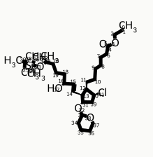 CCCOC(=O)CCCCCC[C@@H]1[C@H](C=C[C@@H](O)CCC[C@@H](C)O[Si](C)(C)C(C)(C)C)[C@H](OC2CCCCO2)C[C@@H]1Cl